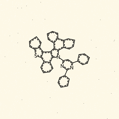 c1ccc(-c2cc(-n3c4c5ccccc5c5ccccc5c4c4c5c6ccccc6sc5c5ccccc5c43)nc(-c3ccccc3)n2)cc1